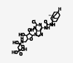 C[C@@]12CC3C[C@@H](C1)C[C@](NC(=O)Nc1nc(Cl)nc4c1ncn4C1OC(CNP(=O)(O)CP(=O)(O)O)C(O)C1O)(C3)C2